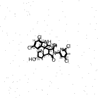 O=C1C2C3C[C@H](O)CN3C3(c4cc(Cl)cc(Cl)c4NC3O)C2C(=O)N1c1cc(Cl)cc(Cl)n1